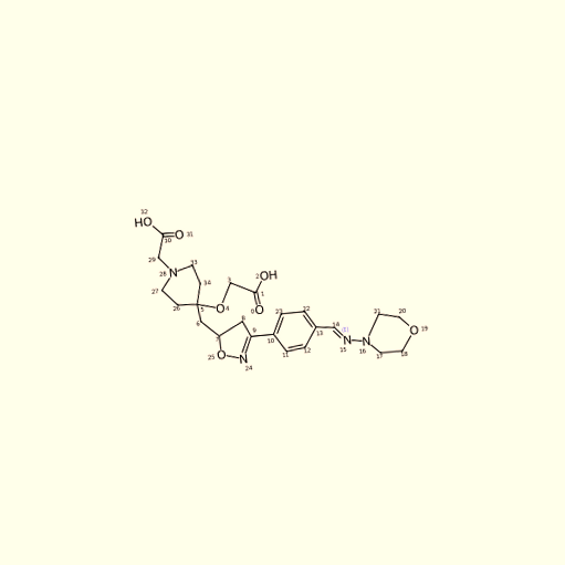 O=C(O)COC1(CC2CC(c3ccc(/C=N/N4CCOCC4)cc3)=NO2)CCN(CC(=O)O)CC1